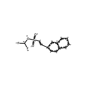 O=S(=O)(C=Cc1ccc2ccccc2c1)OC(F)F